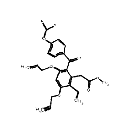 C=CCOc1cc(OCC=C)c(C(=O)c2ccc(OC(F)F)cc2)c(CC(=O)OC)c1CC